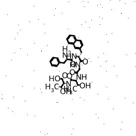 C[C@H](O)[C@@H](NC(=O)[C@H](NC(=O)CNC(=O)[C@@H](Cc1ccc2ccccc2c1)NC(=O)[C@H](N)Cc1ccccc1)[C@H](C)O)C(=O)O